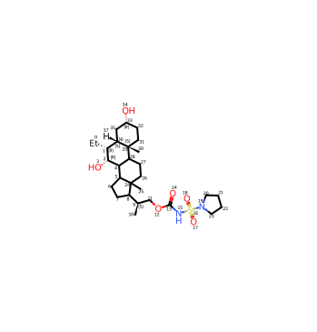 CC[C@H]1[C@@H](O)C2C3CCC([C@H](C)COC(=O)NS(=O)(=O)N4CCCC4)C3(C)CCC2[C@@]2(C)CC[C@@H](O)C[C@@H]12